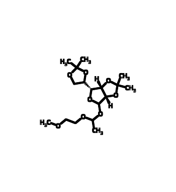 COCCOC(C)OC1O[C@H](C2COC(C)(C)O2)[C@@H]2OC(C)(C)O[C@H]12